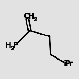 C=C(P)CCC(C)C